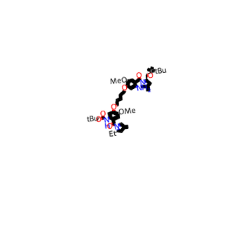 C=C1C[C@H](CO[Si](C)(C)C(C)(C)C)N(C(=O)c2cc(OC)c(OCCCCCOc3cc(NC(=O)OC(C)(C)C)c(C(=O)N4CC(=C)C[C@@H]4CC)cc3OC)cc2N)C1